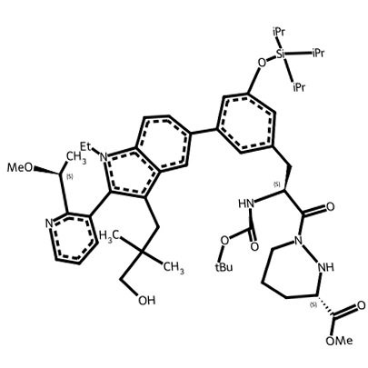 CCn1c(-c2cccnc2[C@H](C)OC)c(CC(C)(C)CO)c2cc(-c3cc(C[C@H](NC(=O)OC(C)(C)C)C(=O)N4CCC[C@@H](C(=O)OC)N4)cc(O[Si](C(C)C)(C(C)C)C(C)C)c3)ccc21